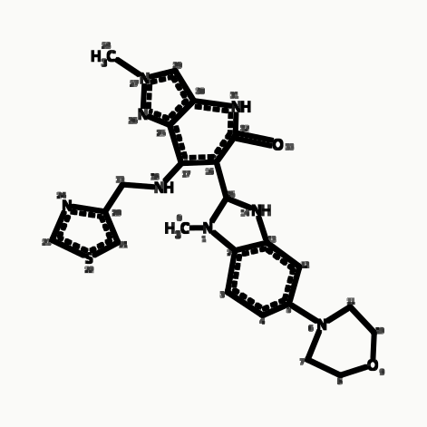 CN1c2ccc(N3CCOCC3)cc2NC1c1c(NCc2cscn2)c2nn(C)cc2[nH]c1=O